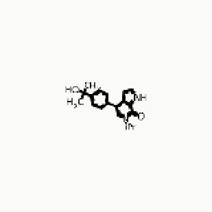 CC(C)n1cc(-c2ccc(C(C)(C)O)cc2)c2cc[nH]c2c1=O